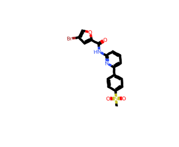 CS(=O)(=O)c1ccc(-c2cccc(NC(=O)c3cc(Br)co3)n2)cc1